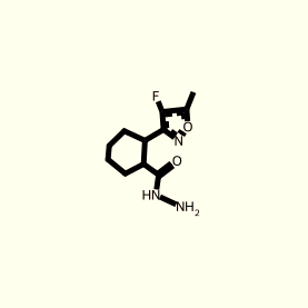 Cc1onc(C2CCCCC2C(=O)NN)c1F